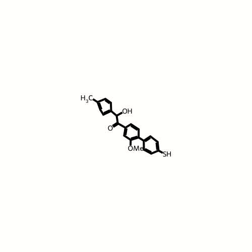 COc1cc(C(=O)C(O)c2ccc(C)cc2)ccc1-c1ccc(S)cc1